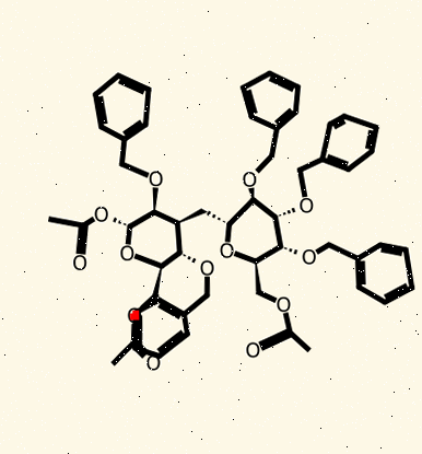 CC(=O)OC[C@H]1O[C@H](OC(C)=O)[C@@H](OCc2ccccc2)[C@@H](C[C@H]2O[C@H](COC(C)=O)[C@@H](OCc3ccccc3)[C@@H](OCc3ccccc3)[C@@H]2OCc2ccccc2)[C@@H]1OCc1ccccc1